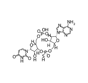 Nc1ncnc2c1ncn2[C@@H]1O[C@@H]2COP(=O)(S)O[C@H]3[C@@H](O)[C@H](n4ccc(=O)[nH]c4=O)O[C@@H]3COP(=O)(O)O[C@@H]1[C@@H]2O